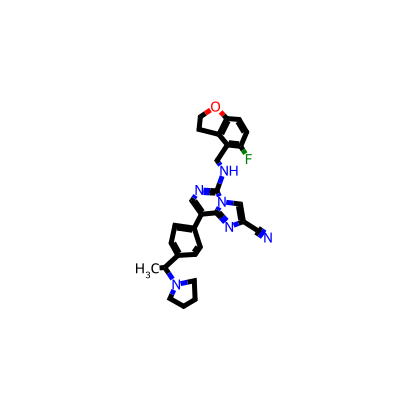 CC(c1ccc(-c2cnc(NCc3c(F)ccc4c3CCO4)n3cc(C#N)nc23)cc1)N1CCCC1